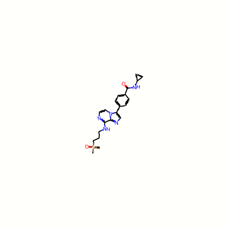 C=S(C)(=O)CCCNc1nccn2c(-c3ccc(C(=O)NC4CC4)cc3)cnc12